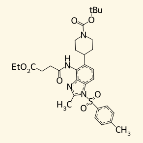 CCOC(=O)CCC(=O)Nc1c(C2CCN(C(=O)OC(C)(C)C)CC2)ccc2c1nc(C)n2S(=O)(=O)c1ccc(C)cc1